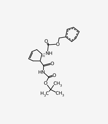 CC(C)(C)OC(=O)NC(=O)C1CC=CC[C@@H]1NC(=O)OCc1ccccc1